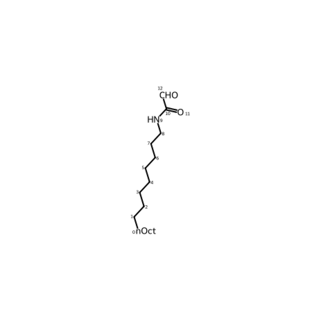 CCCCCCCCCCCCCCCCNC(=O)C=O